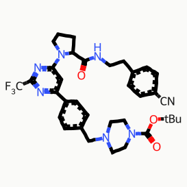 CC(C)(C)OC(=O)N1CCN(Cc2ccc(-c3cc(N4CCCC4C(=O)NCCc4ccc(C#N)cc4)nc(C(F)(F)F)n3)cc2)CC1